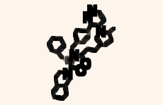 Cc1ccc(C=CC(=O)N(Cc2ccc(-c3cccnn3)cc2)[C@@H](Cc2ccccc2)C(=O)N2CCc3ccccc3C2)cn1